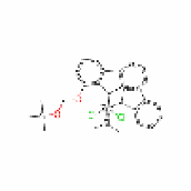 C[Si](C)=[Zr]([Cl])([Cl])([CH]1C=Cc2ccccc21)[CH]1c2ccccc2-c2cccc(OCO[Si](C)(C)C)c21